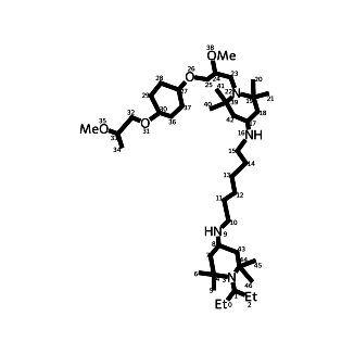 CCC(CC)N1C(C)(C)CC(NCCCCCCNC2CC(C)(C)N(CC(COC3CCC(OCC(C)OC)CC3)OC)C(C)(C)C2)CC1(C)C